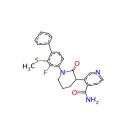 CSc1c(-c2ccccc2)ccc(N2CCCC(c3cnccc3C(N)=O)C2=O)c1F